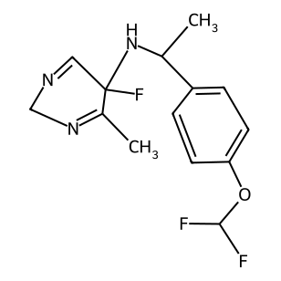 CC1=NCN=CC1(F)NC(C)c1ccc(OC(F)F)cc1